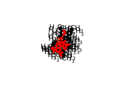 CC(C)(C)c1ccc(-c2c(OP(Oc3ccc(C(C)(C)C)c(-c4ccc(C(C)(C)C)cc4C(C)(C)C)c3-c3ccc(C(C)(C)C)cc3C(C)(C)C)Oc3ccc(C(C)(C)C)c(-c4ccc(C(C)(C)C)cc4C(C)(C)C)c3-c3ccc(C(C)(C)C)cc3C(C)(C)C)ccc(C(C)(C)C)c2-c2ccc(C(C)(C)C)cc2C(C)(C)C)c(C(C)(C)C)c1